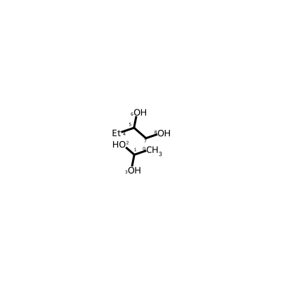 CC(O)O.CCC(O)CO